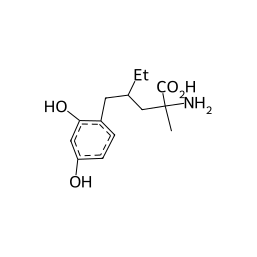 CCC(Cc1ccc(O)cc1O)CC(C)(N)C(=O)O